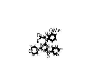 COc1cccc2c1nc(C(F)F)n2-c1nc(N2CCOCC2)nc(N(C)c2cncnc2)n1